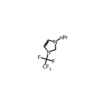 CCCN1C=CN(C(F)(F)C(F)(F)F)C1